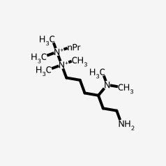 CCC[N+](C)(C)[N+](C)(C)CCCC(CCN)N(C)C